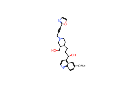 COc1ccc2nccc([C@H](O)CC[C@@H]3CCN(CC#Cc4ncco4)C[C@@H]3CO)c2c1